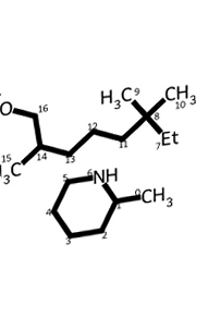 CC1CCCCN1.CCC(C)(C)CCCC(C)CO